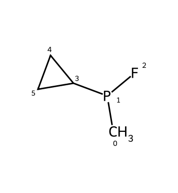 CP(F)C1CC1